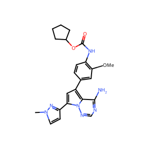 COc1cc(-c2cc(-c3ccn(C)n3)n3ncnc(N)c23)ccc1NC(=O)OC1CCCC1